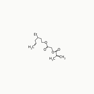 C=CCC(CC)CCOC(=O)COC(=O)C(=C)C